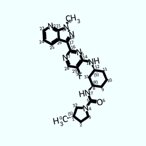 C[C@H]1CCN(C(=O)N[C@@H]2CCC[C@H](Nc3nc(-c4nn(C)c5ncccc45)ncc3F)C2)C1